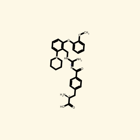 COc1ccccc1Oc1cccc(N2CCCCC2)c1CN/C(N)=N/C(=O)c1ccc(C[C@H](N)C(=O)O)cc1